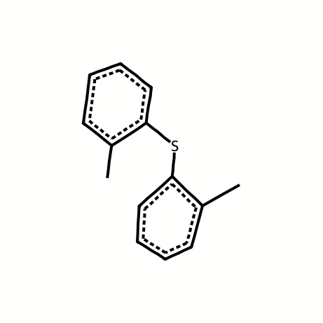 Cc1ccccc1Sc1ccccc1C